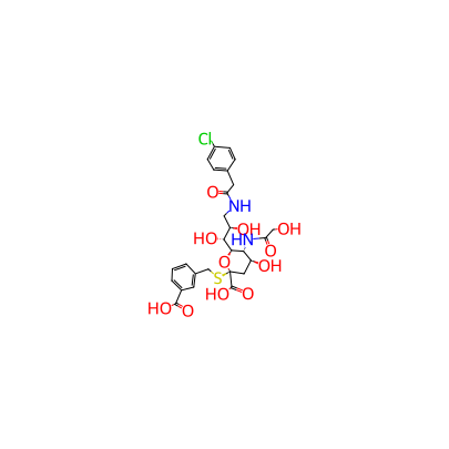 O=C(Cc1ccc(Cl)cc1)NC[C@@H](O)[C@@H](O)[C@@H]1O[C@@](SCc2cccc(C(=O)O)c2)(C(=O)O)C[C@H](O)[C@H]1NC(=O)CO